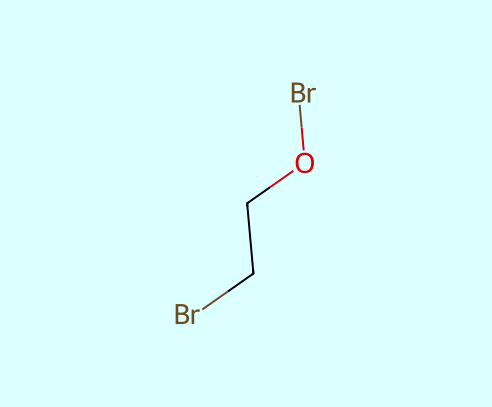 BrCCOBr